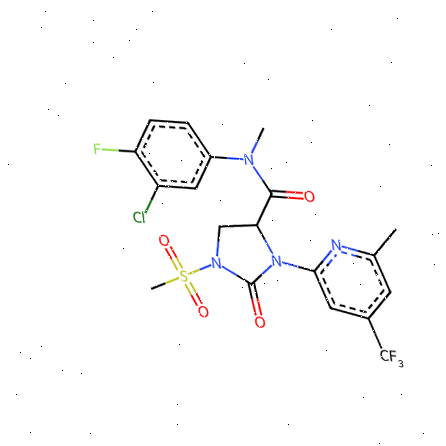 Cc1cc(C(F)(F)F)cc(N2C(=O)N(S(C)(=O)=O)CC2C(=O)N(C)c2ccc(F)c(Cl)c2)n1